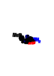 COc1ccc(C(C)N2CCC(O)(c3cccc(C(N)=O)c3)C(CN(C)C)C2)cc1